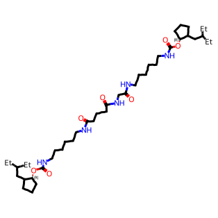 CCC(CC)CC1CCC[C@H]1OC(=O)NCCCCCCNC(=O)CCCC(=O)NCC(=O)NCCCCCCNC(=O)O[C@@H]1CCCC1CC(CC)CC